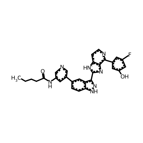 CCCCC(=O)Nc1cncc(-c2ccc3[nH]nc(-c4nc5c(-c6cc(O)cc(F)c6)nccc5[nH]4)c3c2)c1